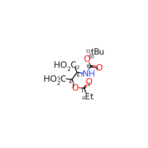 CCC(=O)OC(C(=O)O)C(NC(=O)OC(C)(C)C)C(=O)O